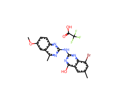 COc1ccc2nc(Nc3nc(O)c4cc(C)cc(Br)c4n3)nc(C)c2c1.O=C(O)C(F)(F)F